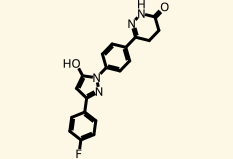 O=C1CCC(c2ccc(-n3nc(-c4ccc(F)cc4)cc3O)cc2)=NN1